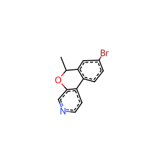 CC1Oc2cnccc2-c2ccc(Br)cc21